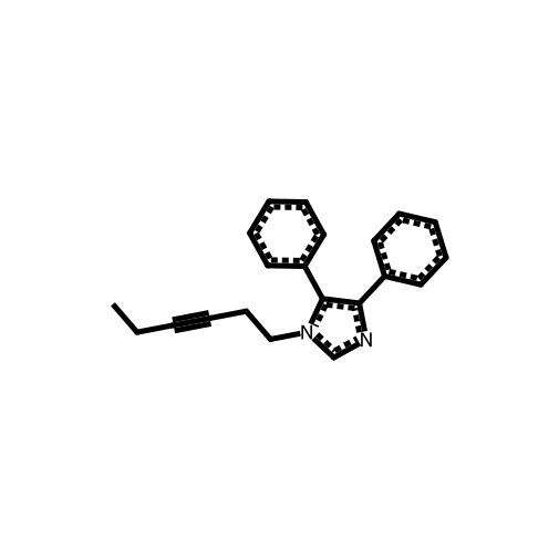 CCC#CCCn1cnc(-c2ccccc2)c1-c1ccccc1